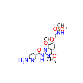 COc1c(OCCNS(C)(=O)=O)ccc2c(=O)n(C)c(NC(=O)c3ccc(N)nc3)nc12